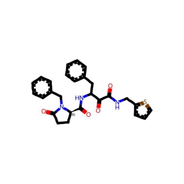 O=C(NCc1cccs1)C(=O)C(Cc1ccccc1)NC(=O)[C@H]1CCC(=O)N1Cc1ccccc1